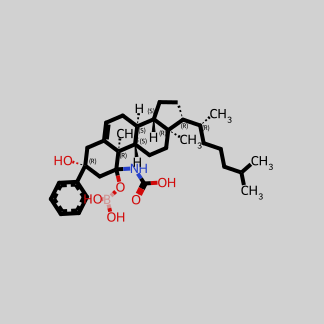 CC(C)CCC[C@@H](C)[C@H]1CC[C@H]2[C@@H]3CC=C4C[C@](O)(c5ccccc5)CC(NC(=O)O)(OB(O)O)[C@]4(C)[C@H]3CC[C@]12C